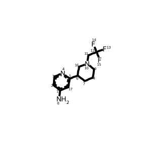 Nc1ccnc(C2CCCN(CC(F)(F)F)C2)c1